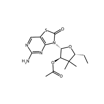 CC[C@H]1O[C@@H](n2c(=O)sc3cnc(N)nc32)[C@H](OC(C)=O)C1(C)C